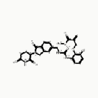 C=C(COc1c(Cl)cccc1NC(=O)NCc1ccc2c(c1)CN(C1CCC(=O)NC1=O)C2=O)C(=O)OC(C)(C)C